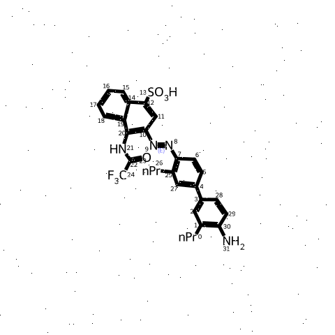 CCCc1cc(-c2ccc(/N=N/c3cc(S(=O)(=O)O)c4ccccc4c3NC(=O)C(F)(F)F)c(CCC)c2)ccc1N